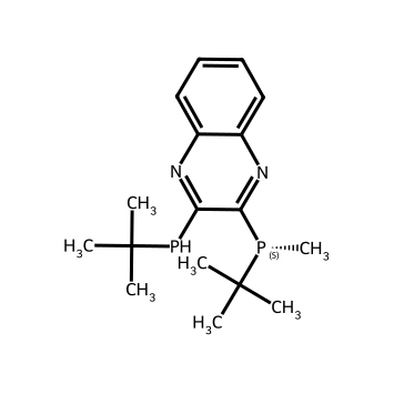 C[P@@](c1nc2ccccc2nc1PC(C)(C)C)C(C)(C)C